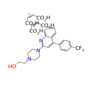 O=C(O)/C=C\C(=O)O.O=C(O)/C=C\C(=O)O.OCCN1CCN(c2cc(-c3ccc(C(F)(F)F)cc3)c3ccccc3n2)CC1